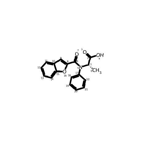 C[C@@H](C(=O)O)N(C(=O)c1cc2ccccc2o1)c1ccccc1